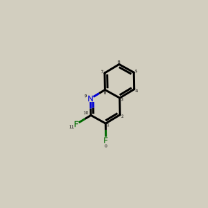 Fc1cc2ccccc2nc1F